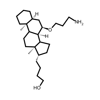 C[C@]12CCC3[C@H](C1CC[C@@H]2CCCCO)[C@H](OCCCN)C[C@@H]1CCCC[C@]31C